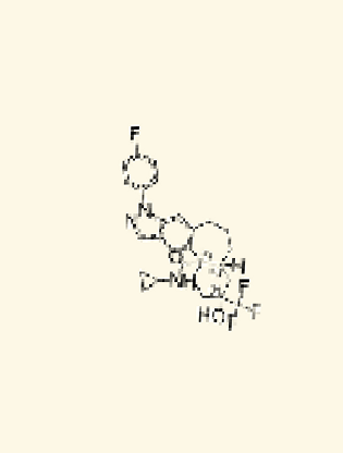 O=C(NC1CC1)[C@@]12CC[C@](O)(C(F)(F)F)C[C@H]1CCCc1cc3c(cnn3-c3ccc(F)cc3)cc12